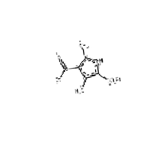 CCOC(=O)c1[nH]c(C)c(C(=O)CC)c1C